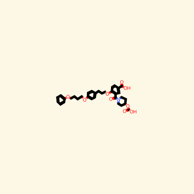 O=C(O)OC1CCN(C(=O)c2cc(C(=O)O)ccc2OCCCc2ccc(OCCCCOc3ccccc3)cc2)CC1